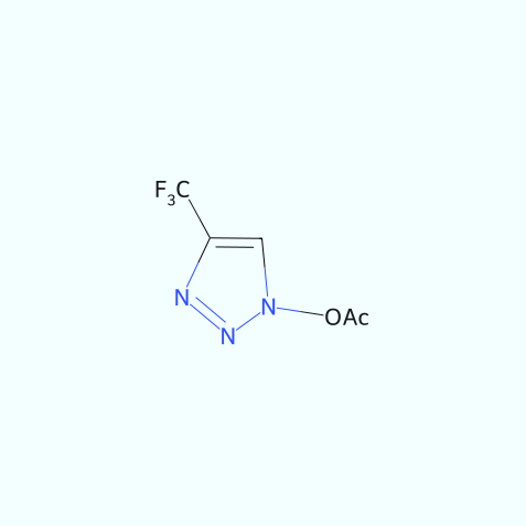 CC(=O)On1cc(C(F)(F)F)nn1